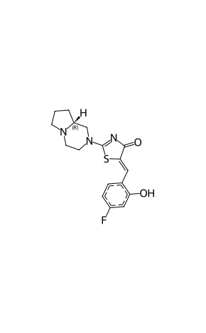 O=C1N=C(N2CCN3CCC[C@@H]3C2)SC1=Cc1ccc(F)cc1O